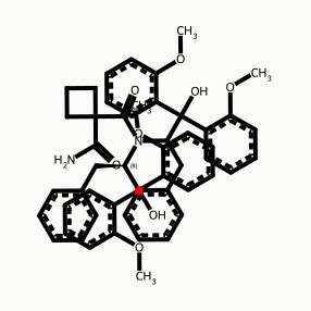 COc1ccccc1C(O)(c1ccccc1OC)C(Cc1ccccc1)N(C(=O)C1(C(N)=O)CCC1)[C@H](Cc1ccccc1)C(O)(c1ccccc1OC)c1ccccc1OC